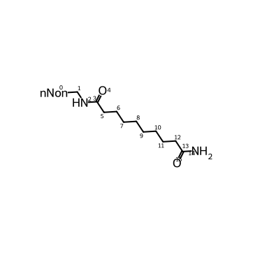 CCCCCCCCCCNC(=O)CCCCCCCCC(N)=O